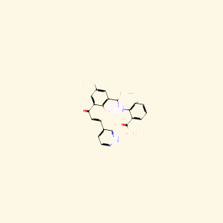 Cc1cc(C(C)Nc2ccccc2C(=O)O)c2oc(-c3cccnc3)cc(=O)c2c1